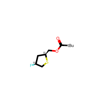 CC(C)(C)C(=O)OC[C@@H]1C[C@H](F)CS1